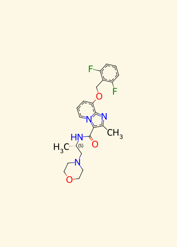 Cc1nc2c(OCc3c(F)cccc3F)cccn2c1C(=O)N[C@@H](C)CN1CCOCC1